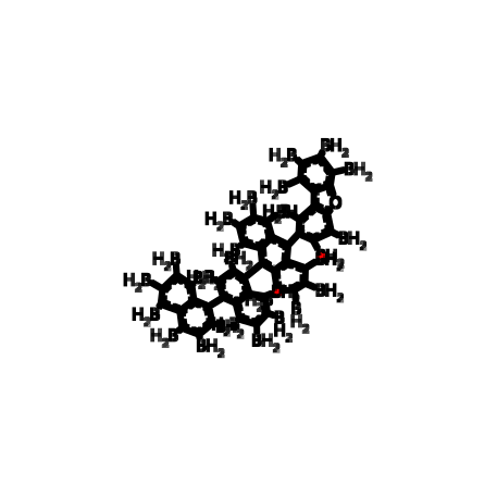 Bc1c(B)c(B)c2c(oc3c(B)c(B)c(-c4c5c(B)c(B)c(B)c(B)c5c(-c5c(B)c(B)c(-c6c(B)c(B)c(B)c7c(B)c(B)c(B)c(B)c67)c6c(B)c(B)c(B)c(B)c56)c5c(B)c(B)c(B)c(B)c45)c(B)c32)c1B